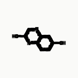 Oc1ccc2nc(O)cnc2c1